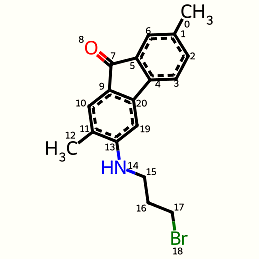 Cc1ccc2c(c1)C(=O)c1cc(C)c(NCCCBr)cc1-2